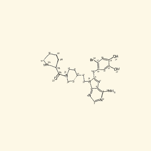 Nc1ncnc2c1nc(Sc1cc(O)c(O)cc1Br)n2CCC1CCN(C(=O)C2CCCCN2)CC1